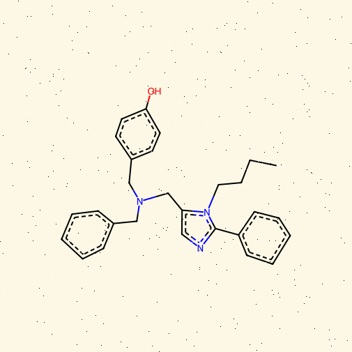 CCCCn1c(CN(Cc2ccccc2)Cc2ccc(O)cc2)cnc1-c1ccccc1